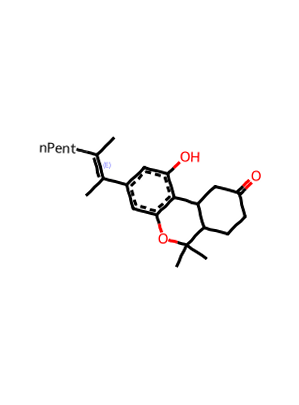 CCCCC/C(C)=C(\C)c1cc(O)c2c(c1)OC(C)(C)C1CCC(=O)CC21